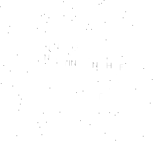 CC(c1cc(F)ccc1F)N1CC(NC(=O)c2cn(C3CC3)nn2)C1